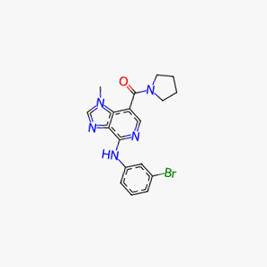 Cn1cnc2c(Nc3cccc(Br)c3)ncc(C(=O)N3CCCC3)c21